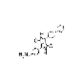 NCc1ccc(C2=C3C(=O)NC(c4ccc(-c5ccccc5)cc4)=C3C(=O)N2)cc1